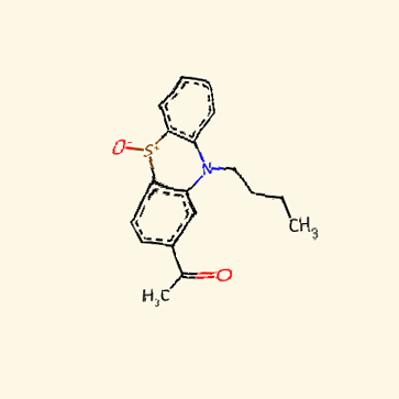 CCCCN1c2ccccc2[S+]([O-])c2ccc(C(C)=O)cc21